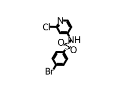 O=S(=O)(Nc1ccnc(Cl)c1)c1ccc(Br)cc1